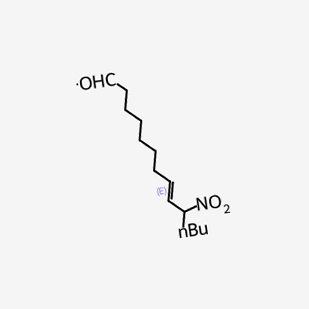 CCCCC(/C=C/CCCCCC[C]=O)[N+](=O)[O-]